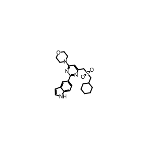 O=S(=O)(Cc1cc(N2CCOCC2)nc(-c2ccc3[nH]ccc3c2)n1)CC1CCCCC1